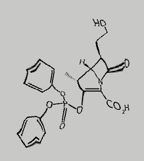 C[C@H]1C(OP(=O)(Oc2ccccc2)Oc2ccccc2)=C(C(=O)O)N2C(=O)[C@H](CCO)[C@@H]12